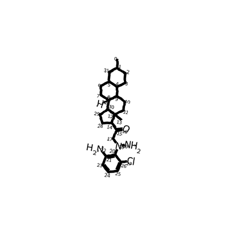 CC1CCC2C(CC[C@@H]3C2CCC2(C)C(C(=O)CN(N)c4c(N)cccc4Cl)CCC32)C1